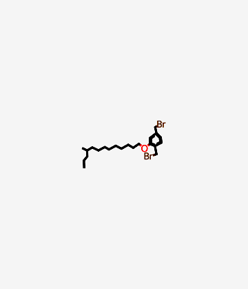 CCCC(C)CCCCCCCCCOc1cc(CBr)ccc1CBr